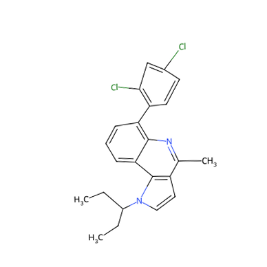 CCC(CC)n1ccc2c(C)nc3c(-c4ccc(Cl)cc4Cl)cccc3c21